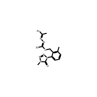 CC/C(=N\N=C(C)C(C)=O)OCc1c(C)cccc1-n1nnn(C)c1=O